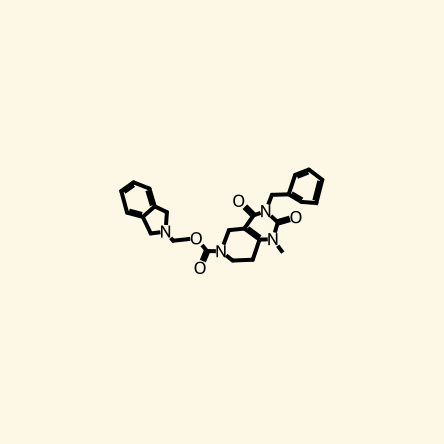 Cn1c2c(c(=O)n(Cc3ccccc3)c1=O)CN(C(=O)OCN1Cc3ccccc3C1)CC2